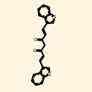 O=C(C=Cc1csc2ccccc12)CC(=O)C=Cc1csc2ccccc12